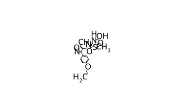 C=CCOc1ccc(-c2noc(C)c2C(=O)N=C(NC(=O)O)SC)cc1